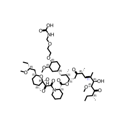 CC[C@H](C[C@@H]1CC[C@@H](C)[C@](O)(C(=O)C(=O)N2CCCC[C@H]2C(=O)O[C@@H](CC(=O)[C@H](C)/C=C(\C)[C@@H](O)[C@@H](OC)C(=O)[C@H](C)CC)[C@@H](C)C[C@H]2CC[C@@H](OCCOCNC(=O)O)[C@H](OC)C2)O1)OC